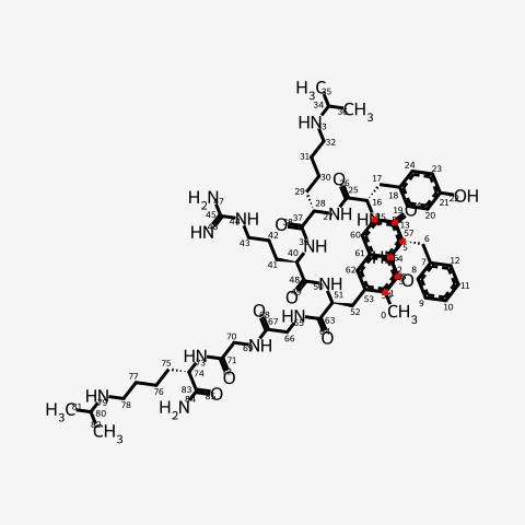 CCC(=O)N[C@@H](Cc1ccccc1)C(=O)N[C@@H](Cc1ccc(O)cc1)C(=O)N[C@@H](CCCCNC(C)C)C(=O)N[C@H](CCCNC(=N)N)C(=O)N[C@@H](Cc1ccc2ccccc2c1)C(=O)NCC(=O)NCC(=O)N[C@@H](CCCCNC(C)C)C(N)=O